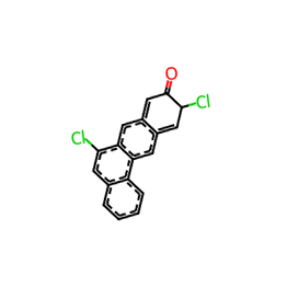 O=C1C=c2cc3c(Cl)cc4ccccc4c3cc2=CC1Cl